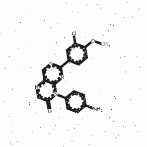 COc1ccc(-c2ncc3ncc(=O)n(-c4ccc(N)cc4)c3n2)cc1Cl